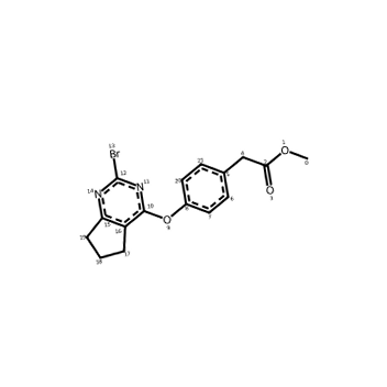 COC(=O)Cc1ccc(Oc2nc(Br)nc3c2CCC3)cc1